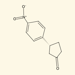 O=C1CC[C@@H](c2ccc([N+](=O)[O-])cc2)C1